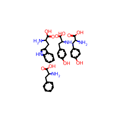 NC(Cc1c[nH]c2ccccc12)C(=O)O.NC(Cc1ccc(O)cc1)C(=O)O.NC(Cc1ccc(O)cc1)C(=O)O.NC(Cc1ccccc1)C(=O)O